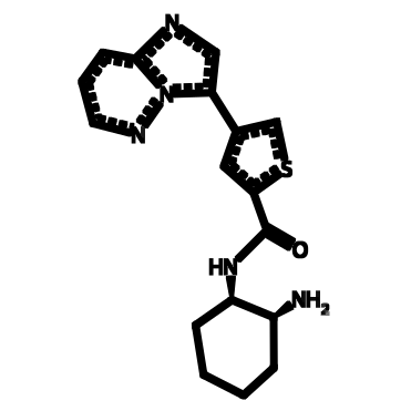 N[C@H]1CCCC[C@H]1NC(=O)c1cc(-c2cnc3cccnn23)cs1